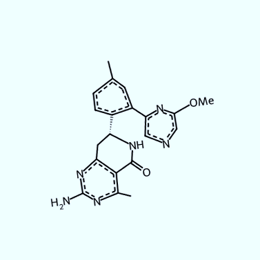 COc1cncc(-c2cc(C)ccc2[C@H]2Cc3nc(N)nc(C)c3C(=O)N2)n1